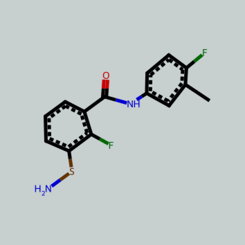 Cc1cc(NC(=O)c2cccc(SN)c2F)ccc1F